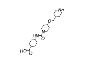 O=C(N[C@H]1CC[C@H](C(=O)O)CC1)N1CCC(OCC2CCNCC2)CC1